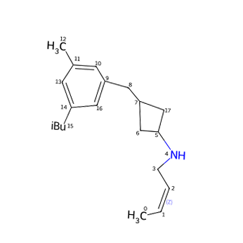 C/C=C\CNC1CC(Cc2cc(C)cc(C(C)CC)c2)C1